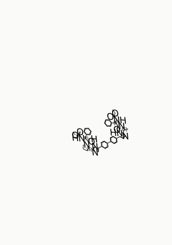 COC(=O)N[C@@H](C(=O)N(C)[C@@H](C)c1ncc(-c2ccc(-c3ccc(-c4cnc([C@@H]5CCCN5C(=O)[C@H](NC(=O)OC)c5ccccc5)[nH]4)cc3)cc2)[nH]1)c1ccccc1